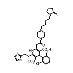 O=C(O)C1=C(CCc2nccs2)NC(CC(=O)N2CCN(CCCCN3CCCC3=O)CC2)=C(C(=O)O)C1c1c(Cl)cccc1Cl